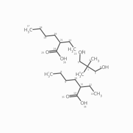 CC(C)(CO)CO.CCCCC(CC)C(=O)O.CCCCC(CC)C(=O)O